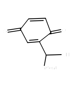 CCCCCC(C)C1=CC(=O)C=CC1=O